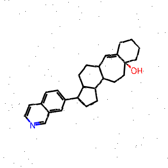 O[C@]12CCCCC1=CC1CCC3C(c4ccc5ccncc5c4)CCC3C1CC2